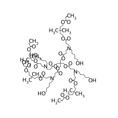 C=CC(=O)OCCC(C)(C)CCOC(=O)CCN(CCCCCO)CCC(=O)OCC(COC(=O)CCN(CCCCCO)CCC(=O)OCCC(C)(C)CCOC(=O)C=C)(COC(=O)CCN(CCCCCO)CCC(=O)OCCC(C)(C)CCOC(=O)C=C)COC(=O)CCN(CCCCCO)CCC(=O)OCC(C)(C)CCOC(=O)C=C